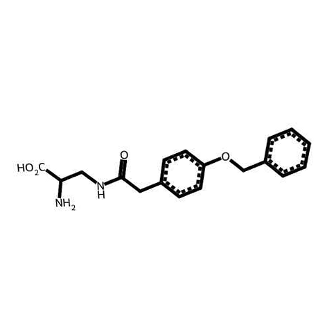 NC(CNC(=O)Cc1ccc(OCc2ccccc2)cc1)C(=O)O